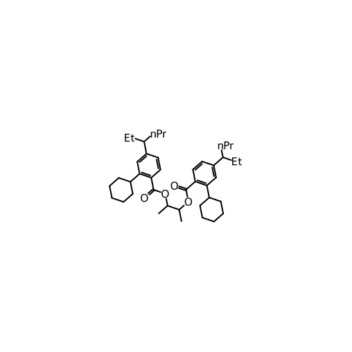 CCCC(CC)c1ccc(C(=O)OC(C)C(C)OC(=O)c2ccc(C(CC)CCC)cc2C2CCCCC2)c(C2CCCCC2)c1